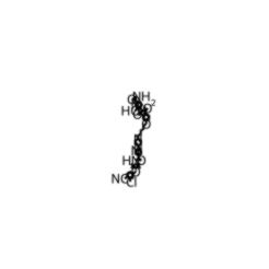 CC1(C)[C@H](NC(=O)c2ccc(N3CCN(CCCCCOc4ccc5c(c4)C(=O)N(c4ccc(C(N)=O)nc4O)C5=O)CC3)nc2)C(C)(C)[C@H]1Oc1ccc(C#N)c(Cl)c1